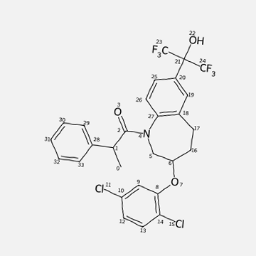 CC(C(=O)N1CC(Oc2cc(Cl)ccc2Cl)CCc2cc(C(O)(C(F)(F)F)C(F)(F)F)ccc21)c1ccccc1